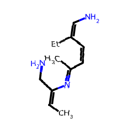 C\C=C(CN)/N=C(C)/C=C\C(=C/N)CC